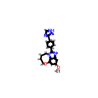 CCOc1cc2c3c(c1)nc(-c1ccc(-c4nc[nH]n4)cc1)n3CCCCO2